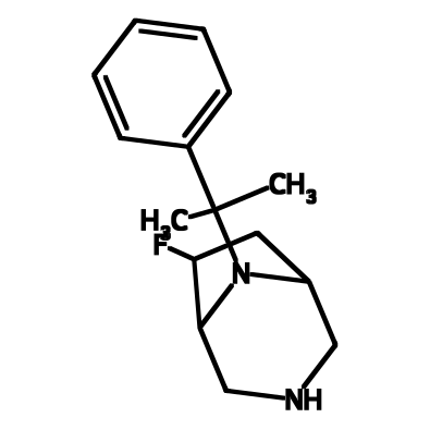 CC(C)(c1ccccc1)N1C2CNCC1C(F)C2